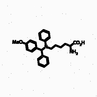 COc1ccc(C(c2ccccc2)N(CCCCC(N)C(=O)O)c2ccccc2)cc1